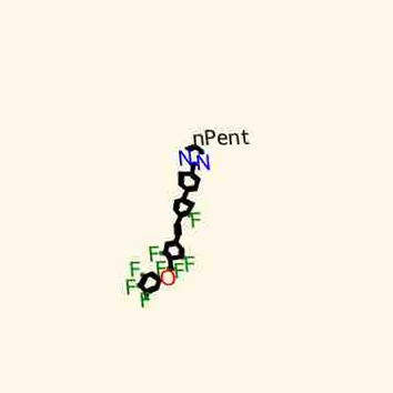 CCCCCc1cnc(-c2ccc(-c3ccc(C#Cc4cc(F)c(C(F)(F)Oc5cc(F)c(F)c(F)c5)c(F)c4)c(F)c3)cc2)nc1